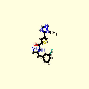 Cn1ncnc1-c1csc(C(=O)NC(CN)Cc2cccc(F)c2)c1